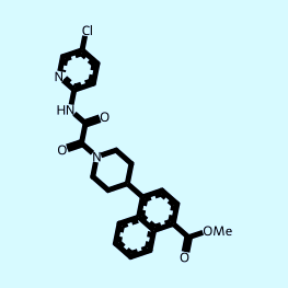 COC(=O)c1ccc(C2CCN(C(=O)C(=O)Nc3ccc(Cl)cn3)CC2)c2ccccc12